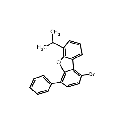 CC(C)c1cccc2c1oc1c(-c3ccccc3)ccc(Br)c12